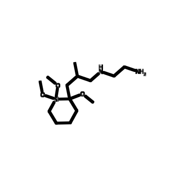 COC1(CC(C)CNCCN)CCCC[Si]1(OC)OC